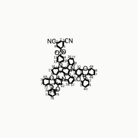 N#Cc1cc(C#N)cc(S(=O)(=O)c2ccc(-n3c4ccccc4c4c3c3c5ccccc5n(-c5cc6c7c(c5)Oc5ccccc5B7c5ccccc5O6)c3c3c5ccccc5n(-c5cc6c7c(c5)Oc5ccccc5[SH]7c5ccccc5O6)c43)cc2)c1